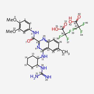 COc1ccc(NC(=O)c2nc(NC3CCCCC3NC(=N)N)c3cc(C)ccc3n2)cc1OC.O=C(O)C(F)(F)F.O=C(O)C(F)(F)F